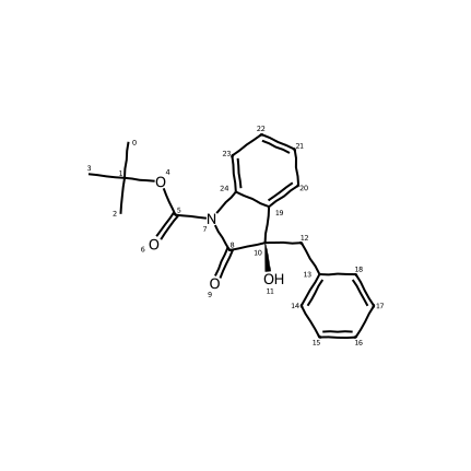 CC(C)(C)OC(=O)N1C(=O)[C@@](O)(Cc2ccccc2)c2ccccc21